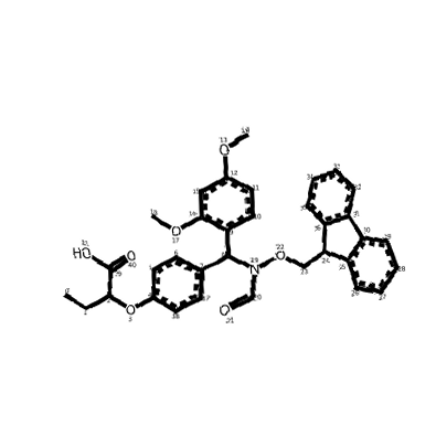 CCC(Oc1ccc(C(c2ccc(OC)cc2OC)N(C=O)OCC2c3ccccc3-c3ccccc32)cc1)C(=O)O